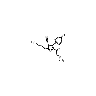 CCCSc1sc(C(=O)COC)c(-c2ccc(Cl)cc2)c1C#N